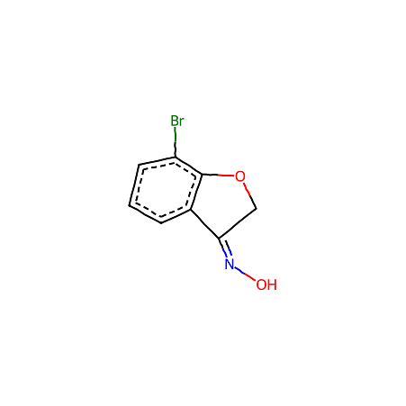 O/N=C1\COc2c(Br)cccc21